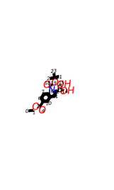 CCOC(=O)c1ccc2c(c1)cc(B(O)O)n2C(=O)OC(C)(C)C